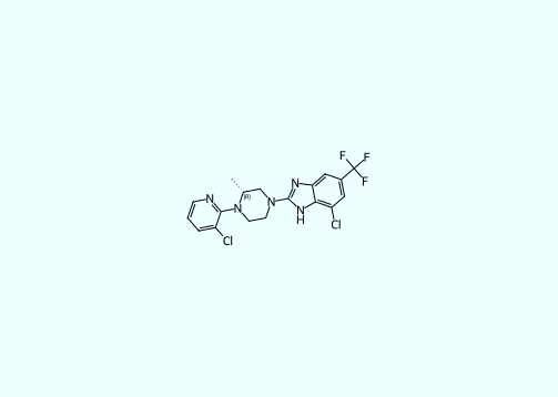 C[C@@H]1CN(c2nc3cc(C(F)(F)F)cc(Cl)c3[nH]2)CCN1c1ncccc1Cl